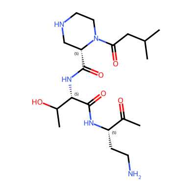 CC(=O)[C@H](CCN)NC(=O)[C@@H](NC(=O)[C@@H]1CNCCN1C(=O)CC(C)C)C(C)O